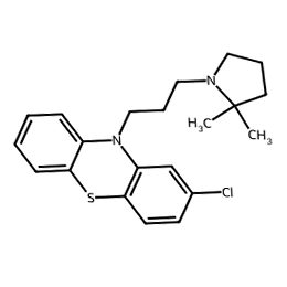 CC1(C)CCCN1CCCN1c2ccccc2Sc2ccc(Cl)cc21